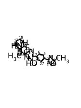 Cc1nc(-c2ccc(-c3ncc(N(C)[C@@H]4C[C@H]5CC[C@H](N5)[C@@H]4F)nn3)c(O)c2)no1